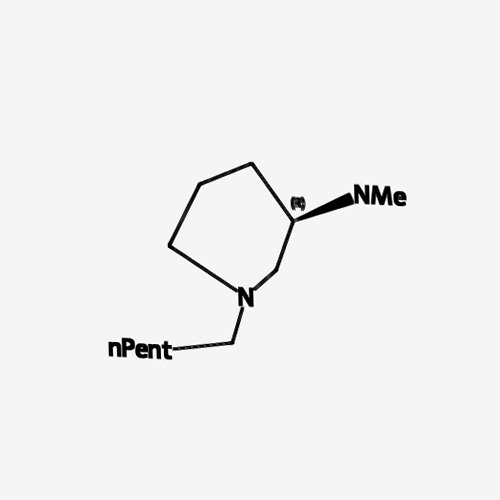 CCCCCCN1CCC[C@@H](NC)C1